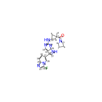 CC1(C(=O)N2CCCC2)CC(Nc2ncc3c(-c4ccc5ncc(F)n5c4)c[nH]c3n2)C1